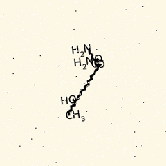 CCCCCC(O)C=CC=CCC=CCC=CCCCC(=O)OC(=O)[C@H](N)CCCN